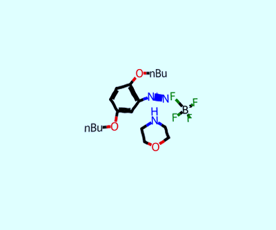 C1COCCN1.CCCCOc1ccc(OCCCC)c([N+]#N)c1.F[B-](F)(F)F